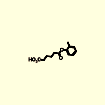 Cc1ccccc1OC(=O)CCCCC(=O)O